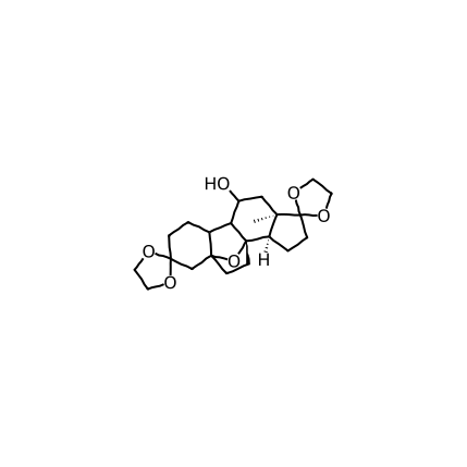 C[C@@]12CC(O)C3C4CCC5(CC46CC[C@]3(O6)[C@@H]1CCC21OCCO1)OCCO5